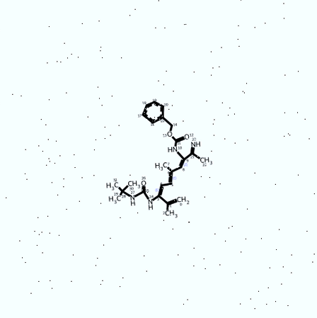 C=C(C)\C(=C/C=C(C)/C=C(\NC(=O)OCc1ccccc1)C(C)=N)NC(=O)NC(C)(C)C